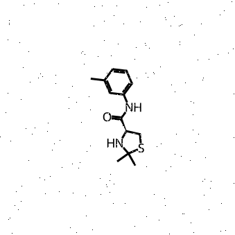 Cc1cccc(NC(=O)[C@H]2CSC(C)(C)N2)c1